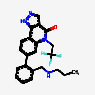 CCCNCc1ccccc1-c1ccc2c3[nH]ncc3c(=O)n(CC(F)(F)F)c2c1